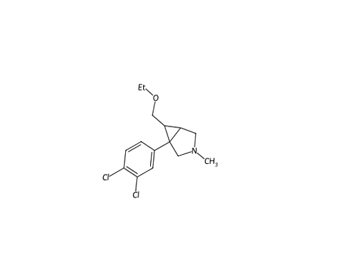 CCOCC1C2CN(C)CC12c1ccc(Cl)c(Cl)c1